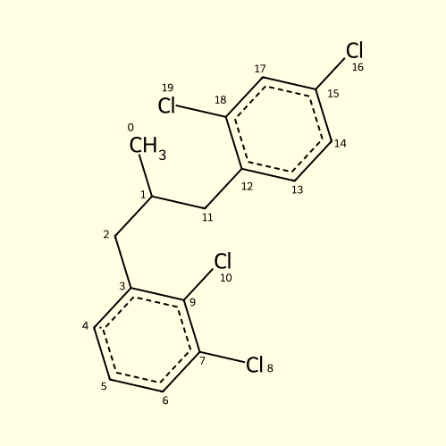 CC(Cc1[c]ccc(Cl)c1Cl)Cc1ccc(Cl)cc1Cl